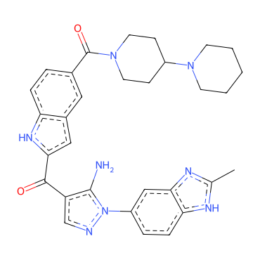 Cc1nc2cc(-n3ncc(C(=O)c4cc5cc(C(=O)N6CCC(N7CCCCC7)CC6)ccc5[nH]4)c3N)ccc2[nH]1